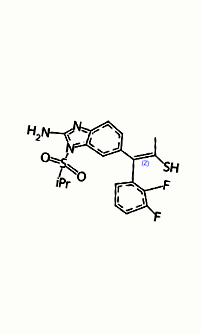 C/C(S)=C(\c1ccc2nc(N)n(S(=O)(=O)C(C)C)c2c1)c1cccc(F)c1F